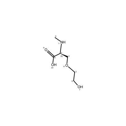 CN[C@@H](COCCO)C(=O)O